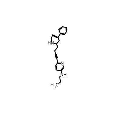 CCCNc1ccc(C#CCCC2CC(c3ccccc3)=CCN2)nc1